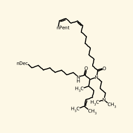 CCCCC/C=C\C/C=C\CCCCCCCC(=O)N(CCCN(C)C)C(C(=O)NCCCCCCCCCCCCCCCCCC)C(C)CCC=C(C)C